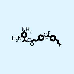 [CH2]C(COC(=O)/C=C/c1ccc(OC(F)(F)c2ccc(CCF)cc2)cc1)c1ccc(N)cc1N